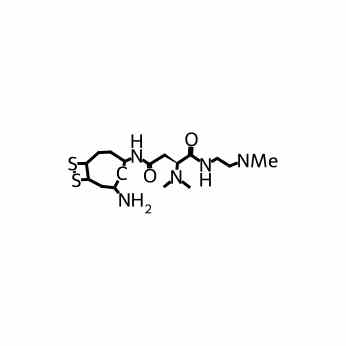 CNCCNC(=O)[C@H](CC(=O)NC1CCC2SSC2CC(N)C1)N(C)C